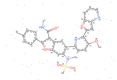 CNC(=O)c1c(-c2ccc(C)cc2)oc2cc(N(C)S(C)(=O)=O)c(-c3ccc(OC)c(-c4cc5ncccc5o4)n3)cc12